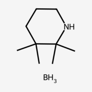 B.CC1(C)CCCNC1(C)C